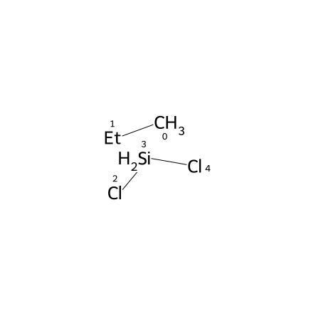 CCC.Cl[SiH2]Cl